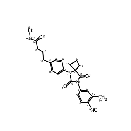 [C-]#[N+]c1ccc(N2C(=O)N(c3ccc(CCCC(=O)NCC)cc3)C3(CCC3)C2=O)cc1C